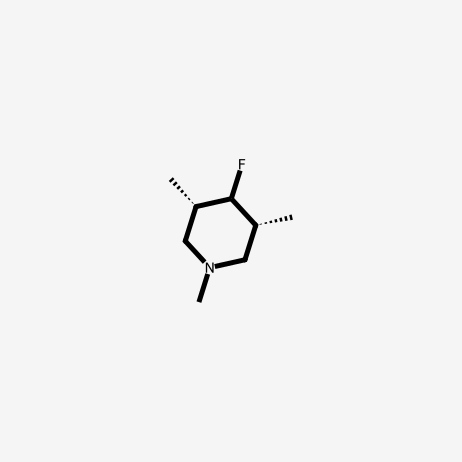 C[C@@H]1CN(C)C[C@H](C)C1F